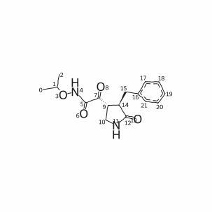 CC(C)ONC(=O)C(=O)[C@H]1CNC(=O)[C@@H]1Cc1ccccc1